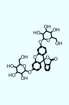 O=C1OC2(c3ccc(OC4OC(CO)C(O)C(O)C4O)cc3Oc3cc(OC4OC(CO)C(O)C(O)C4O)ccc32)c2ccccc21